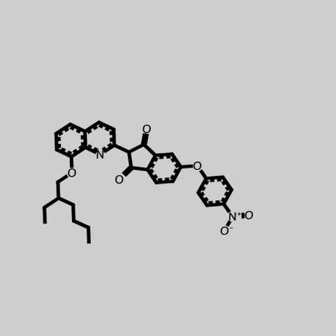 CCCCC(CC)COc1cccc2ccc(C3C(=O)c4ccc(Oc5ccc([N+](=O)[O-])cc5)cc4C3=O)nc12